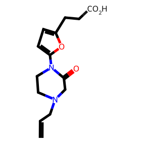 C=CCN1CCN(c2ccc(CCC(=O)O)o2)C(=O)C1